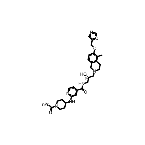 CCCC(=O)N1CCC(Nc2cc(C(=O)NC[C@H](O)CN3CCc4c(ccc(OCc5cnco5)c4C)C3)ccn2)CC1